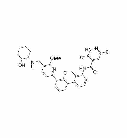 COc1nc(-c2cccc(-c3cccc(NC(=O)c4cc(Cl)n[nH]c4=O)c3C)c2Cl)ccc1CNC1CCCCC1O